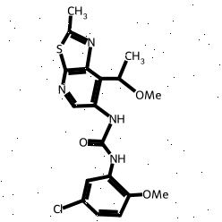 COc1ccc(Cl)cc1NC(=O)Nc1cnc2sc(C)nc2c1C(C)OC